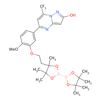 COc1ccc(-c2cc(C(F)(F)F)n3nc(O)cc3n2)cc1OCCC1(C)OB(B2OC(C)(C)C(C)(C)O2)OC1(C)C